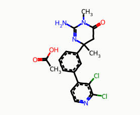 CC(=O)O.CN1C(=O)CC(C)(c2cccc(-c3ccnc(Cl)c3Cl)c2)N=C1N